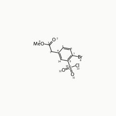 COC(=O)Cc1ccc(Br)c(S(=O)(=O)Cl)c1